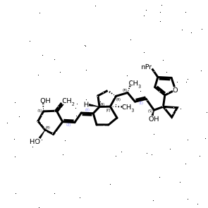 C=C1/C(=C\C=C2/CCC[C@]3(C)[C@@H]([C@H](C)/C=C/[C@H](O)C4(c5cc(CCC)co5)CC4)CC[C@@H]23)C[C@@H](O)C[C@@H]1O